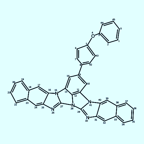 c1ccc(Oc2ccc(-c3cc4c5c(c3)n3c6cc7ccccc7cc6nc3n5c3nc5cc6ccccc6cc5n43)cc2)cc1